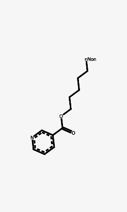 CCCCCCCCCCCCCCOC(=O)c1cccnc1